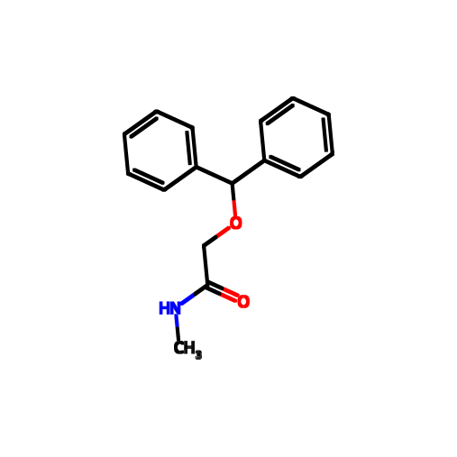 CNC(=O)COC(c1ccccc1)c1ccccc1